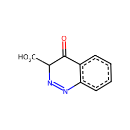 O=C(O)C1N=Nc2ccccc2C1=O